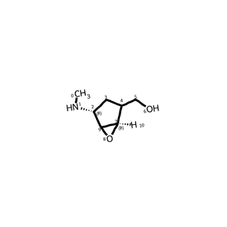 CN[C@@H]1CC(CO)[C@H]2OC21